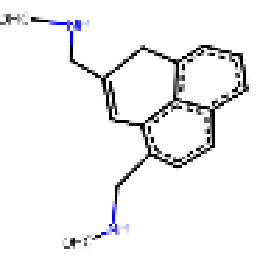 O=CNCC1=Cc2c(CNC=O)ccc3cccc(c23)C1